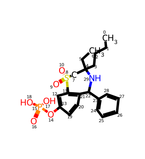 CCCCC1(CC)CS(=O)(=O)c2cc(OP(=O)(O)O)ccc2C(c2ccccc2)N1